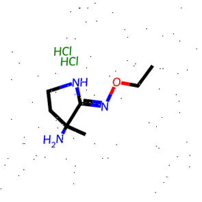 CCON=C1NCCC1(C)N.Cl.Cl